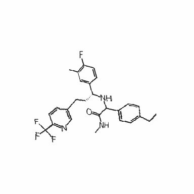 CCc1ccc(C(N[C@H](CCc2ccc(C(F)(F)F)nc2)c2ccc(F)c(C)c2)C(=O)NC)cc1